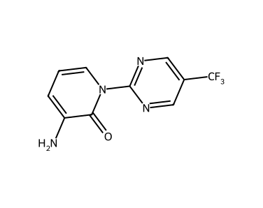 Nc1cccn(-c2ncc(C(F)(F)F)cn2)c1=O